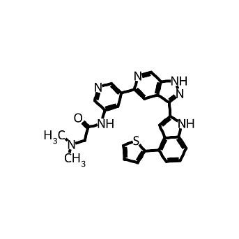 CN(C)CC(=O)Nc1cncc(-c2cc3c(-c4cc5c(-c6cccs6)cccc5[nH]4)n[nH]c3cn2)c1